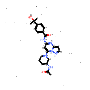 CC(=O)N[C@H]1CCCN(c2cc(NC(=O)c3ccc(C(C)(C)O)cc3)nc3ccnn23)C1